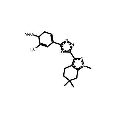 COC1CC=C(c2nnc(-c3nn(C)c4c3CCC(C)(C)C4)o2)C=C1C(F)(F)F